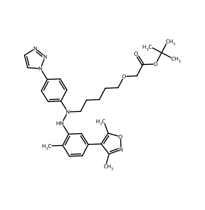 Cc1ccc(-c2c(C)noc2C)cc1NN(CCCCCOCC(=O)OC(C)(C)C)c1ccc(-n2ccnn2)cc1